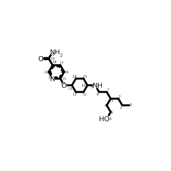 CCCC(CCO)CCNC1CCC(Oc2ccc(C(N)=O)cn2)CC1